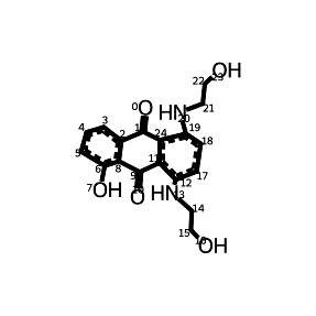 O=C1c2cccc(O)c2C(=O)c2c(NCCO)ccc(NCCO)c21